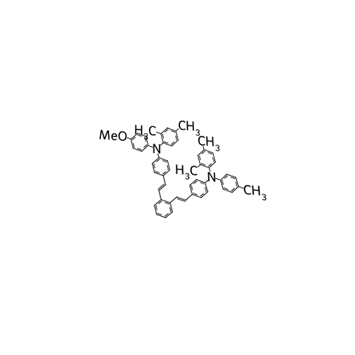 COc1ccc(N(c2ccc(C=Cc3ccccc3C=Cc3ccc(N(c4ccc(C)cc4)c4ccc(C)cc4C)cc3)cc2)c2ccc(C)cc2C)cc1